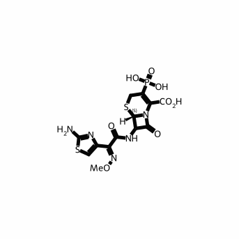 CON=C(C(=O)NC1C(=O)N2C(C(=O)O)=C(P(=O)(O)O)CS[C@@H]12)c1csc(N)n1